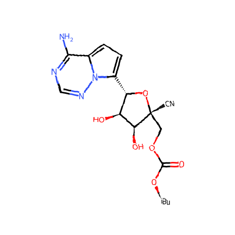 CC[C@H](C)OC(=O)OC[C@@]1(C#N)O[C@@H](c2ccc3c(N)ncnn23)[C@H](O)[C@@H]1O